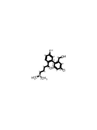 CN(C)CCCC(O)c1ccc(F)cc1-c1ccc(Cl)cc1CO